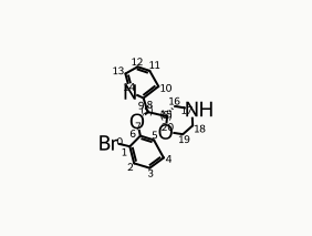 Brc1ccccc1O[C@@H](c1ccccn1)[C@@H]1CNCCO1